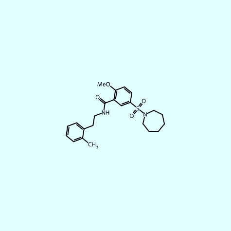 COc1ccc(S(=O)(=O)N2CCCCCC2)cc1C(=O)NCCc1ccccc1C